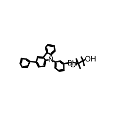 CC(C)(O)C(C)(C)OBc1cccc(-n2c3ccccc3c3cc(-c4ccccc4)ccc32)c1